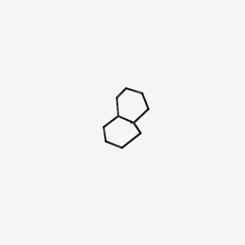 C1CCC2CCCC[C]2C1